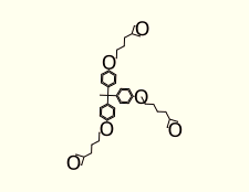 CC(c1ccc(OCCCCC2COC2)cc1)(c1ccc(OCCCCC2COC2)cc1)c1ccc(OCCCCC2COC2)cc1